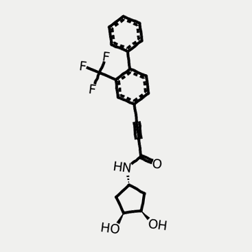 O=C(C#Cc1ccc(-c2ccccc2)c(C(F)(F)F)c1)N[C@@H]1C[C@@H](O)[C@@H](O)C1